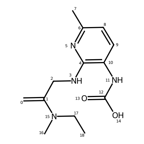 C=C(CNc1nc(C)ccc1NC(=O)O)N(C)CC